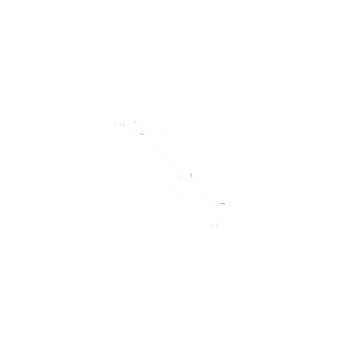 C[C@H]1CC[C@H](O[Si](C)(C)C(C)(C)C)C/C1=C/C=C1\CCC[C@]2(C)[C@@H]([C@@H](C)CO)CC[C@@H]12